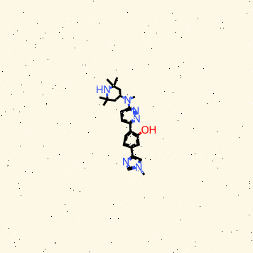 CN(c1ccc(-c2ccc(-c3cn(C)cn3)cc2O)nn1)C1CC(C)(C)NC(C)(C)C1